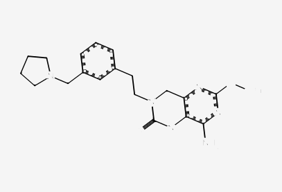 CCCCOc1nc(N)c2c(n1)CN(CCc1cccc(CN3CCCC3)c1)C(=O)N2